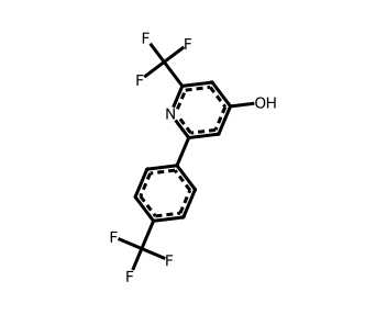 Oc1cc(-c2ccc(C(F)(F)F)cc2)nc(C(F)(F)F)c1